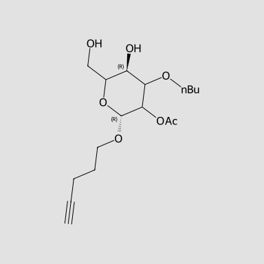 C#CCCCO[C@@H]1OC(CO)[C@@H](O)C(OCCCC)C1OC(C)=O